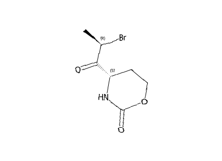 C[C@@H](Br)C(=O)[C@@H]1CCOC(=O)N1